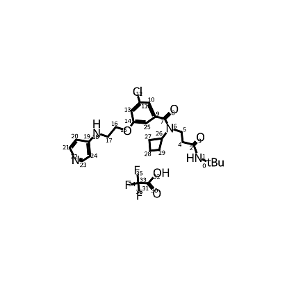 CC(C)(C)NC(=O)CCN(C(=O)c1cc(Cl)cc(OCCNc2ccncc2)c1)C1CCC1.O=C(O)C(F)(F)F